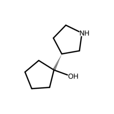 OC1([C@@H]2CCNC2)CCCC1